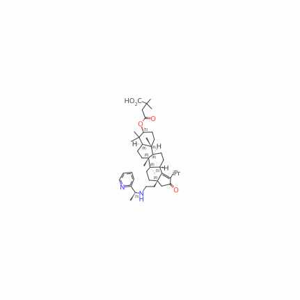 CC(C)C1=C2[C@H]3CC[C@@H]4[C@@]5(C)CC[C@H](OC(=O)CC(C)(C)C(=O)O)C(C)(C)[C@@H]5CC[C@@]4(C)[C@]3(C)CC[C@@]2(CCN[C@@H](C)c2ccccn2)CC1=O